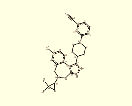 N#Cc1ccnc(N2CCC(c3nnc4n3-c3ccc(Cl)cc3CN(C3CC3(F)F)C4)CC2)n1